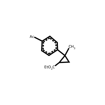 CCOC(=O)C1CC1(C)c1ccc(C(C)=O)cc1